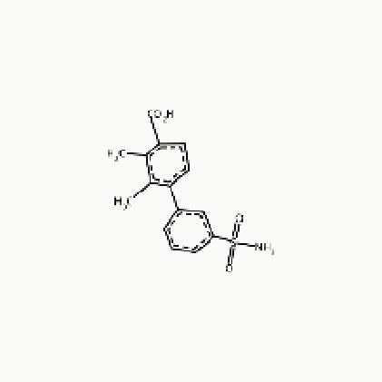 Cc1c(C(=O)O)ccc(-c2cccc(S(N)(=O)=O)c2)c1C